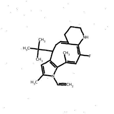 C=Cn1c(C)cc2c1/C(C)=C/C(F)=C1/NCCC/C1=C\CC2C(C)(C)C